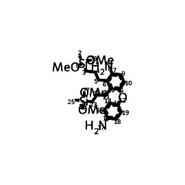 CO[Si](C)(CCCc1c(N)ccc(Oc2ccc(N)cc2)c1CCC[Si](C)(OC)OC)OC